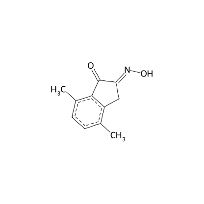 Cc1ccc(C)c2c1CC(=NO)C2=O